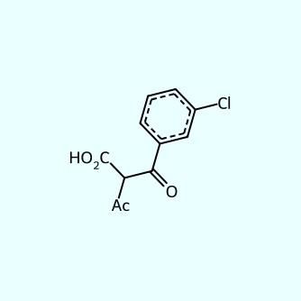 CC(=O)C(C(=O)O)C(=O)c1cccc(Cl)c1